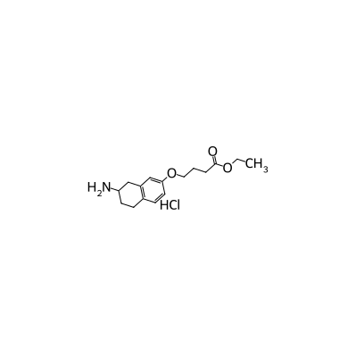 CCOC(=O)CCCOc1ccc2c(c1)CC(N)CC2.Cl